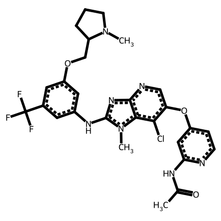 CC(=O)Nc1cc(Oc2cnc3nc(Nc4cc(OCC5CCCN5C)cc(C(F)(F)F)c4)n(C)c3c2Cl)ccn1